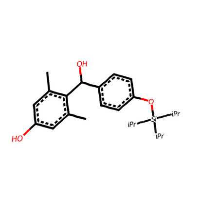 Cc1cc(O)cc(C)c1C(O)c1ccc(O[Si](C(C)C)(C(C)C)C(C)C)cc1